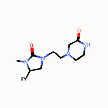 CC(C)C1CN(CCN2CCNC(=O)C2)C(=O)N1C